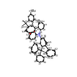 CC(C)(C)c1cc(C(C)(C)C)c2c(c1)C(C)(C)c1cccc(-c3ccccc3N(c3ccccc3)c3ccc4c(c3)C(c3ccccc3)(c3ccccc3)c3ccccc3-4)c1-2